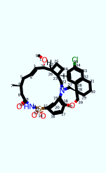 CO[C@H]1/C=C/C[C@H](C)CC(=O)NS(=O)(=O)c2ccc3c(c2)N(C[C@@H]2CC[C@H]21)C[C@@]1(CCCc2cc(Cl)ccc21)CO3